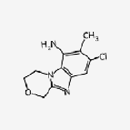 Cc1c(Cl)cc2nc3n(c2c1N)CCOC3